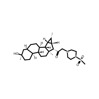 C[C@H]1[C@@H]2[C@H]1[C@H](C(=O)CN1CCN(S(C)(=O)=O)CC1)[C@@]1(C)CC[C@H]3[C@@H](CC[C@@H]4C[C@](C)(O)CC[C@@H]43)[C@H]21